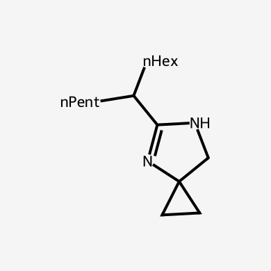 CCCCCCC(CCCCC)C1=NC2(CC2)CN1